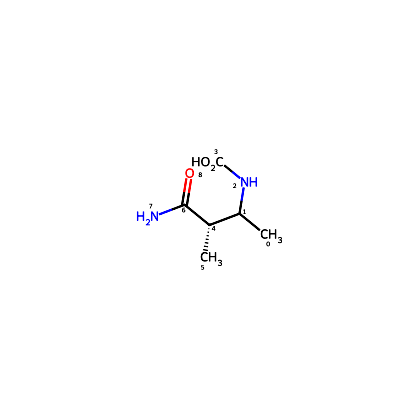 CC(NC(=O)O)[C@H](C)C(N)=O